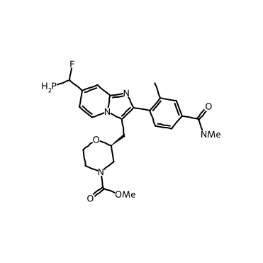 CNC(=O)c1ccc(-c2nc3cc(C(F)P)ccn3c2C[C@H]2CN(C(=O)OC)CCO2)c(C)c1